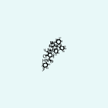 Cc1ccc(NC(=O)c2cnc3c(c(C)nn3Cc3nnnn3C(c3ccccc3)(c3ccccc3)c3ccccc3)c2Cl)cc1